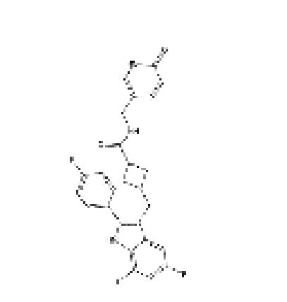 O=C(NCc1ccc(=O)[nH]c1)C1CC(Cc2c(-c3ccc(F)cc3)[nH]c3c(F)cc(F)cc23)C1